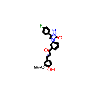 COc1cc(/C=C/C(=O)c2cccc(-n3cc(-c4ccc(F)cc4)[nH]c3=O)c2)ccc1O